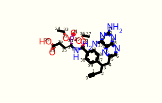 C#CCC(Cc1cnc2nc(N)nc(N)c2n1)c1ccc(C(=O)N[C@@H](CCC(=O)O)P(=O)(OCC)OCC)cc1